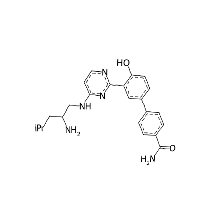 CC(C)CC(N)CNc1ccnc(-c2cc(-c3ccc(C(N)=O)cc3)ccc2O)n1